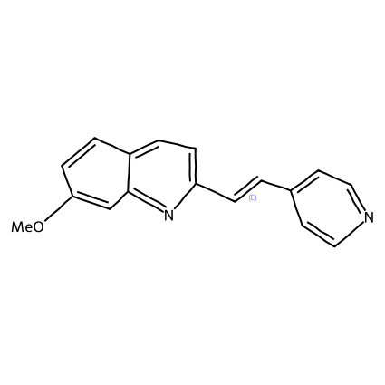 COc1ccc2ccc(/C=C/c3ccncc3)nc2c1